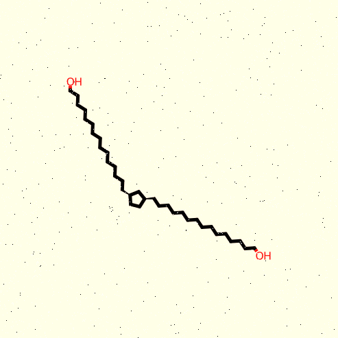 OCCCCCCCCCCCCCCC[C@@H]1CC[C@H](CCCCCCCCCCCCCCCO)C1